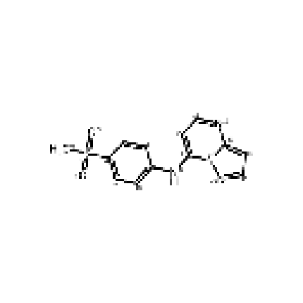 CS(=O)(=O)c1ccc(Nc2ccnc3ccnn23)cc1